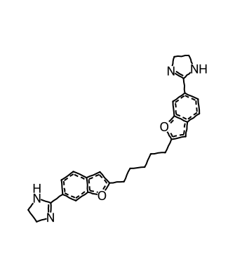 c1cc2cc(CCCCCc3cc4ccc(C5=NCCN5)cc4o3)oc2cc1C1=NCCN1